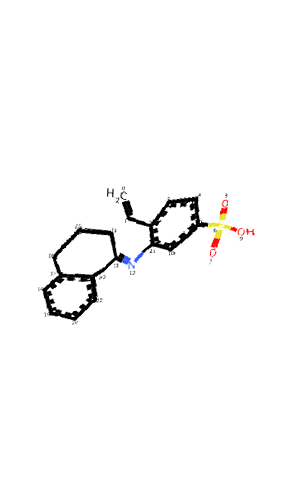 C=Cc1ccc(S(=O)(=O)O)cc1/N=C1\CCCc2ccccc21